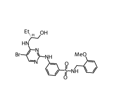 CC[C@H](CO)Nc1nc(Nc2cccc(S(=O)(=O)NCc3ccccc3OC)c2)ncc1Br